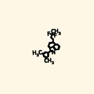 Cc1cc(C)cc(C2=Nc3cccc4c(CCC(C)(F)F)ccc2c34)c1